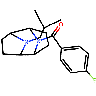 CC(C)CN1C2CCC1C1CCC2N1C(=O)c1ccc(F)cc1